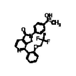 C[C@@H](O)c1ccc(N2Cc3c(ccnc3-c3ccccc3OCC(F)(F)F)C2=O)cc1